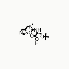 CN(Cc1cncs1)C(=O)N[C@@H](COC(C)(C)C)C(=O)O